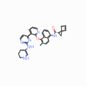 Cc1ccc2c(NC(=O)[C@H]3CC34CCC4)cccc2c1Oc1ncccc1-c1ccnc(NC2CCCNC2)n1